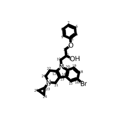 OC(COc1ccccc1)Cn1c2c(c3cc(Br)ccc31)CN(C1CC1)CC2